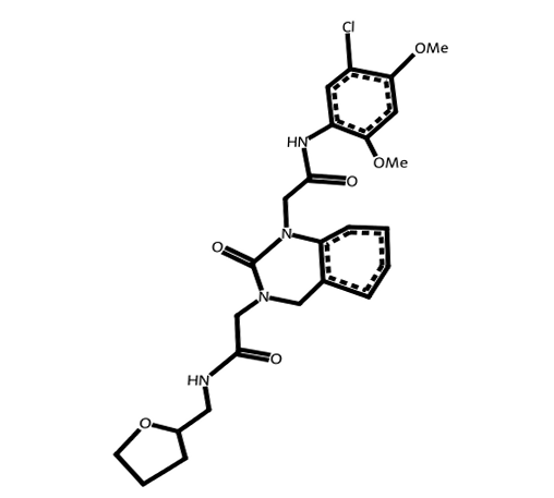 COc1cc(OC)c(NC(=O)CN2C(=O)N(CC(=O)NCC3CCCO3)Cc3ccccc32)cc1Cl